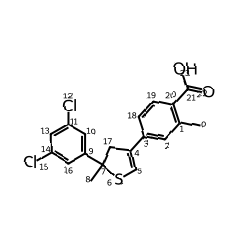 Cc1cc(C2=CSC(C)(c3cc(Cl)cc(Cl)c3)C2)ccc1C(=O)O